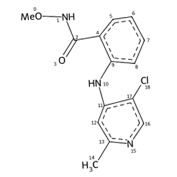 CONC(=O)c1ccccc1Nc1cc(C)ncc1Cl